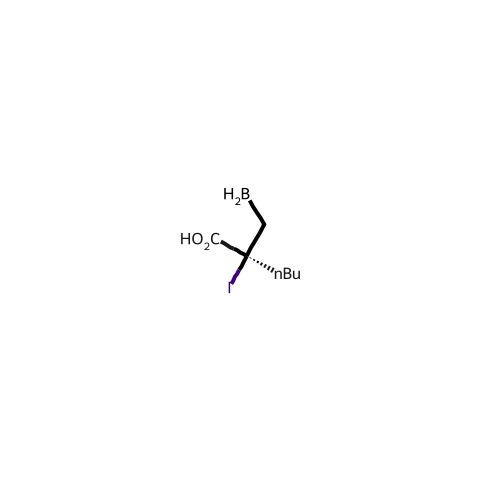 BC[C@](I)(CCCC)C(=O)O